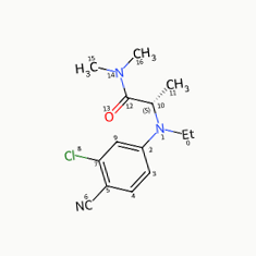 CCN(c1ccc(C#N)c(Cl)c1)[C@@H](C)C(=O)N(C)C